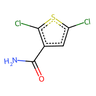 NC(=O)c1cc(Cl)sc1Cl